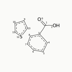 O=C(O)c1ccccc1.c1ccsc1